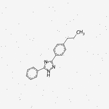 CCCc1ccc(-c2n[nH]c(-c3ccccc3)n2)cc1